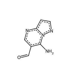 Nc1c(C=O)cnc2ccnn12